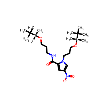 CC(C)(C)[Si](C)(C)OCCCNC(=O)c1cc([N+](=O)[O-])cn1CCCO[Si](C)(C)C(C)(C)C